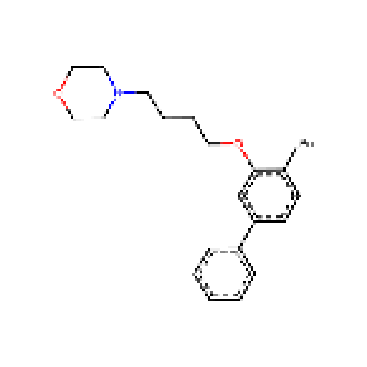 CCC(C)c1ccc(-c2ccccc2)cc1OCCCCN1CCOCC1